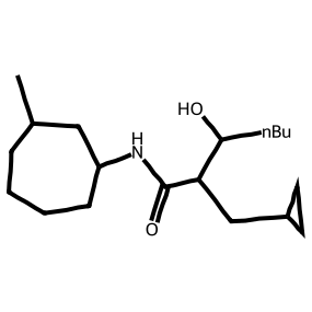 CCCCC(O)C(CC1CC1)C(=O)NC1CCCCC(C)C1